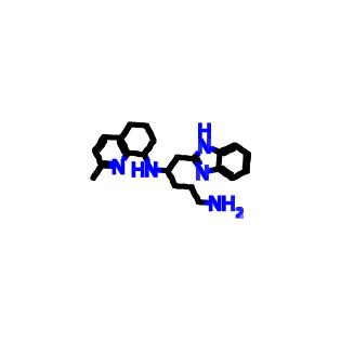 Cc1ccc2c(n1)C(NC(CCCN)Cc1nc3ccccc3[nH]1)CCC2